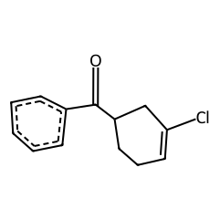 O=C(c1ccccc1)C1CCC=C(Cl)C1